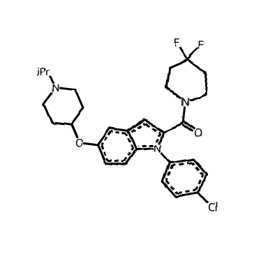 CC(C)N1CCC(Oc2ccc3c(c2)cc(C(=O)N2CCC(F)(F)CC2)n3-c2ccc(Cl)cc2)CC1